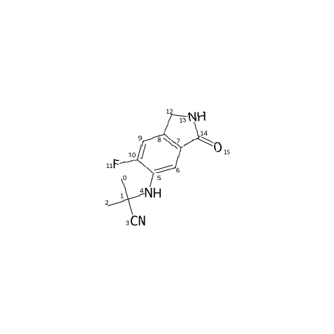 CC(C)(C#N)Nc1cc2c(cc1F)CNC2=O